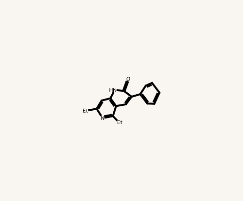 CCc1cc2[nH]c(=O)c(-c3ccccc3)cc2c(CC)n1